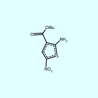 CC(C)COC(=O)c1cc([N+](=O)[O-])sc1N